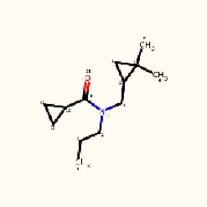 CCCN(CC1CC1(C)C)C(=O)C1CC1